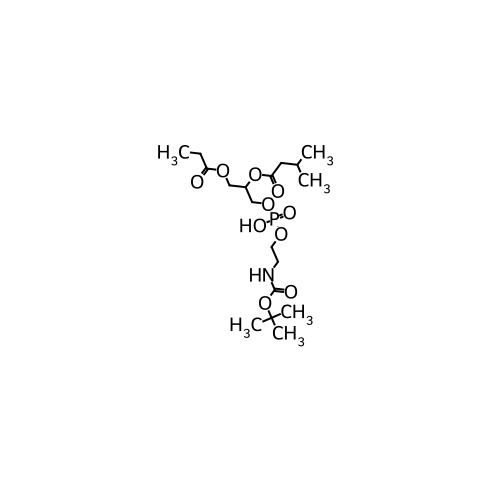 CCC(=O)OCC(COP(=O)(O)OCCNC(=O)OC(C)(C)C)OC(=O)CC(C)C